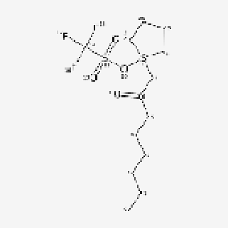 CCCCCCC(=O)CS1(OS(=O)(=O)C(F)(F)F)CCCC1